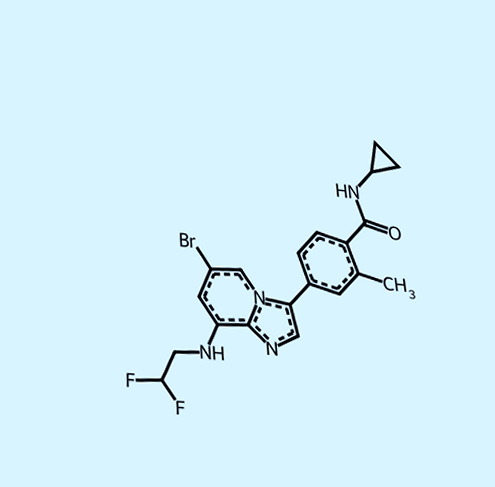 Cc1cc(-c2cnc3c(NCC(F)F)cc(Br)cn23)ccc1C(=O)NC1CC1